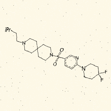 CC(C)CCN1CCC2(CC1)CCN(S(=O)(=O)c1ccc(N3CCC(F)(F)CC3)nc1)CC2